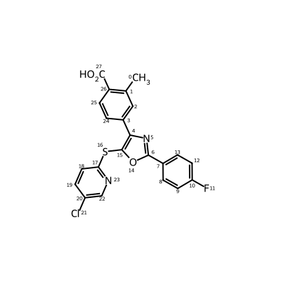 Cc1cc(-c2nc(-c3ccc(F)cc3)oc2Sc2ccc(Cl)cn2)ccc1C(=O)O